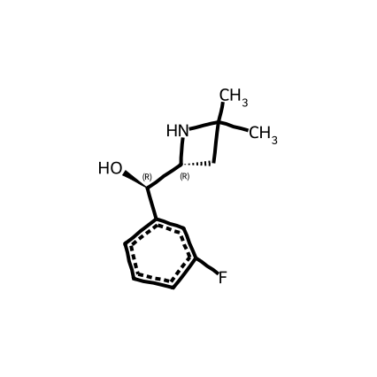 CC1(C)C[C@H]([C@H](O)c2cccc(F)c2)N1